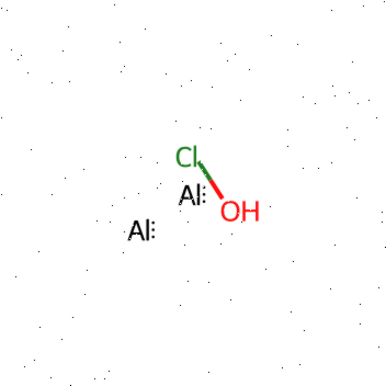 OCl.[Al].[Al]